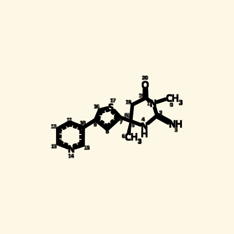 CN1C(=N)N[C@](C)(c2cc(-c3cccnc3)cs2)CC1=O